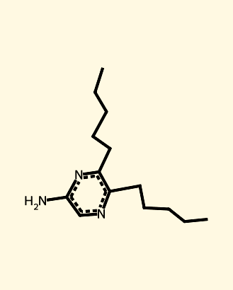 CCCCCc1ncc(N)nc1CCCCC